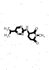 CC(C)c1cnc(NC2CCC(=O)N(C)C2=O)nn1